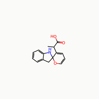 CC(C(=O)O)C1=CC=COC12Cc1ccccc1N2